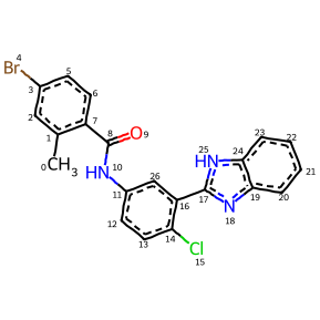 Cc1cc(Br)ccc1C(=O)Nc1ccc(Cl)c(-c2nc3ccccc3[nH]2)c1